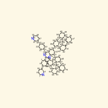 c1cncc(-c2ccc(-c3nc(-c4ccc(-c5cccnc5)cc4)c4cc(-c5ccc6c(c5)C5(c7ccccc7-c7ccccc75)c5ccccc5-6)cc(-c5ccc6c(c5)C5(c7ccccc7-c7ccccc75)c5ccccc5-6)c4n3)cc2)c1